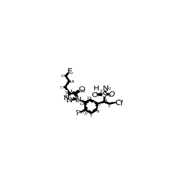 NS(=O)(=O)C(CCl)c1ccc(F)c(-n2nnn(CCCF)c2=O)c1